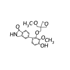 COCC1(COc2c(-c3ccc4c(c3)CNC4=O)ccc(O)c2OC)COC1